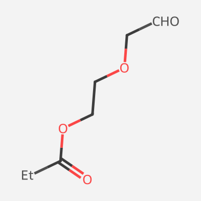 CCC(=O)OCCOCC=O